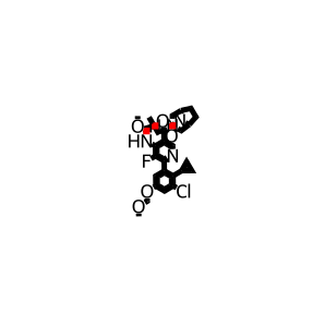 COCOc1cc(Cl)c(C2CC2)c(-c2ncc3c(c2F)NC(OC)N=C3N2CC3CCC(C2)N3C(=O)OC(C)(C)C)c1